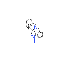 N#CC1(N(Cc2ccccc2)Cc2ccccc2)C2CNCC21